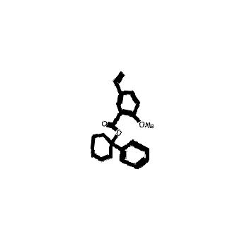 C=Cc1ccc(OC)c(C(=O)OC2(c3ccccc3)CCCCC2)c1